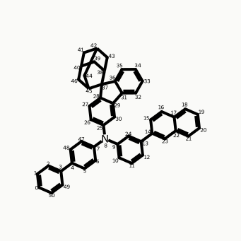 c1ccc(-c2ccc(N(c3cccc(-c4ccc5ccccc5c4)c3)c3ccc4c(c3)-c3ccccc3C43C4CC5CC(C4)CC3C5)cc2)cc1